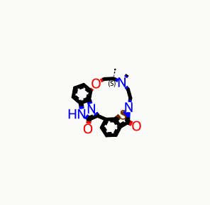 C[C@H]1COc2cccc3[nH]c(=O)c(nc23)-c2cccc3c(=O)n(sc23)CCN1C